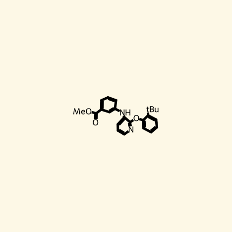 COC(=O)c1cccc(Nc2cccnc2Oc2ccccc2C(C)(C)C)c1